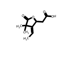 CC=C1C(CC(=O)O)OC(=O)C1(C)C